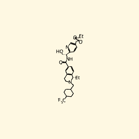 CC[C@H]1c2ccc(C(=O)N[C@H](CO)c3ccc(S(=O)(=O)CC)cn3)cc2CCN1CC1CCC(C(F)(F)F)CC1